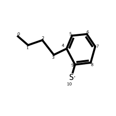 CCCCc1ccccc1[S]